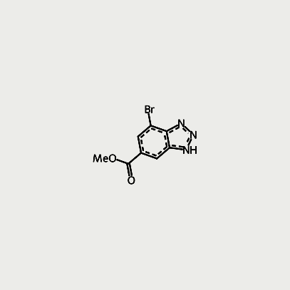 COC(=O)c1cc(Br)c2nn[nH]c2c1